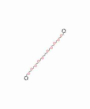 c1ccc(COCCOCCOCCOCCOCCCCOCCOCCOCCOCCOCc2ccccc2)cc1